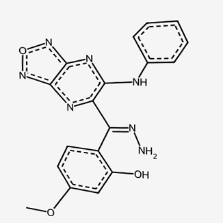 COc1ccc(C(=NN)c2nc3nonc3nc2Nc2ccccc2)c(O)c1